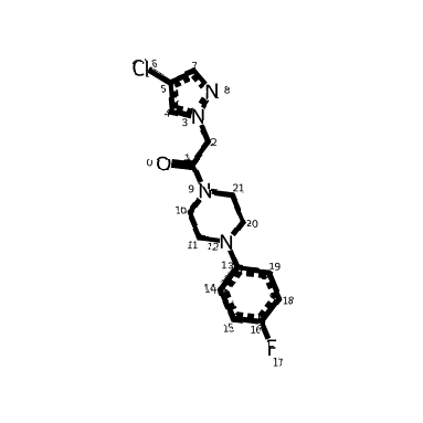 O=C(Cn1cc(Cl)cn1)N1CCN(c2ccc(F)cc2)CC1